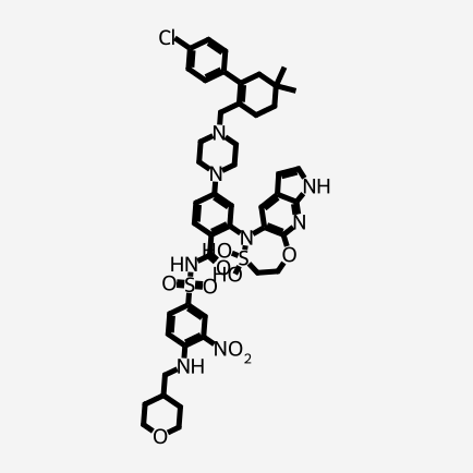 CC1(C)CCC(CN2CCN(c3ccc(C(=O)NS(=O)(=O)c4ccc(NCC5CCOCC5)c([N+](=O)[O-])c4)c(N4c5cc6cc[nH]c6nc5OCCS4(O)O)c3)CC2)=C(c2ccc(Cl)cc2)C1